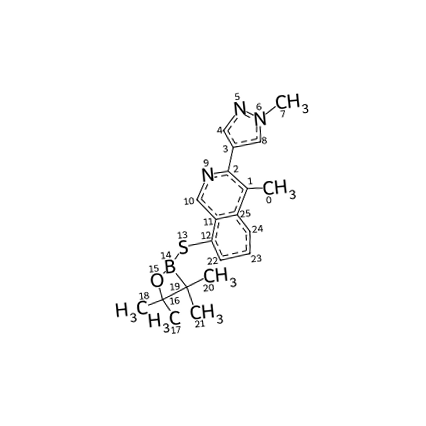 Cc1c(-c2cnn(C)c2)ncc2c(SB3OC(C)(C)C3(C)C)cccc12